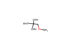 COC(CO[SiH3])(OC)OC